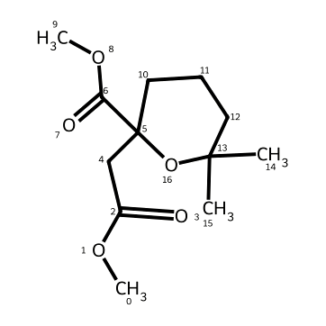 COC(=O)CC1(C(=O)OC)CCCC(C)(C)O1